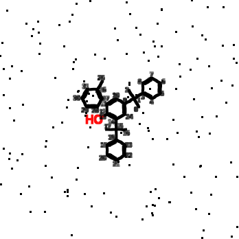 CC(C)(c1ccccc1)c1ccc(O)c(C(C)(C)c2ccccc2)c1.Cc1ccccc1